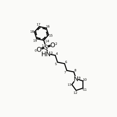 O=S(=O)(NCCCCCN1C[CH]CC1)c1ccccc1